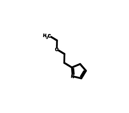 CCOCCC1=NC=CC1